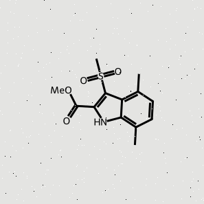 COC(=O)c1[nH]c2c(C)ccc(C)c2c1S(C)(=O)=O